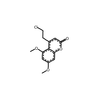 COc1cc(OC)c2c(CCCl)cc(=O)oc2c1